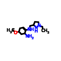 CCN1CCC(CNC2=CCC(OC)CC2N)N1